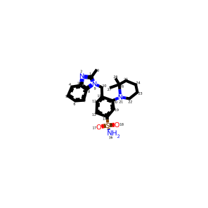 Cc1nc2ccccc2n1Cc1ccc(S(N)(=O)=O)cc1N1CCCCC1(C)C